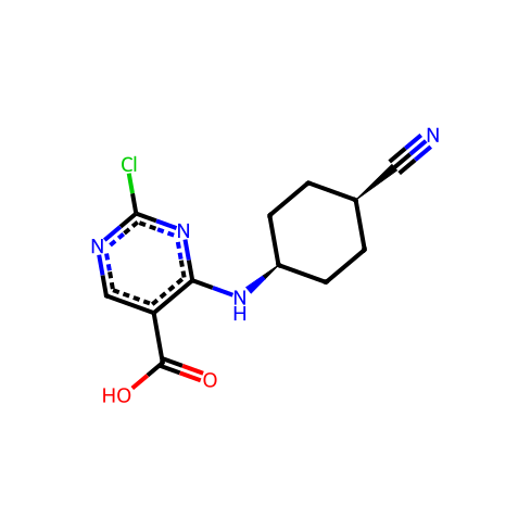 N#C[C@H]1CC[C@@H](Nc2nc(Cl)ncc2C(=O)O)CC1